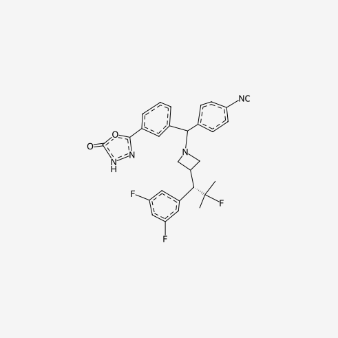 [C-]#[N+]c1ccc(C(c2cccc(-c3n[nH]c(=O)o3)c2)N2CC([C@@H](c3cc(F)cc(F)c3)C(C)(C)F)C2)cc1